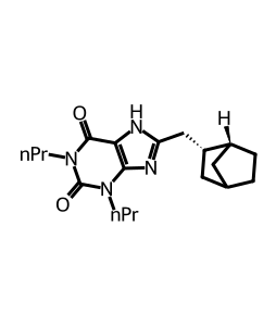 CCCn1c(=O)c2[nH]c(C[C@H]3CC4CC[C@@H]3C4)nc2n(CCC)c1=O